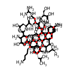 CC(C)C[C@H](NN[C@@H](CCCCN)C(=O)N[C@@H](CCCCN)C(=O)C(=O)[C@H](Cc1ccc(O)cc1)NC(=O)[C@H](CCCNC(N)N)NN[C@@H](CO)C(=O)O)C(=O)N[C@@H](CC(C)C)C(=O)C(=O)[C@H](CCCCN)NC(=O)[C@H](CC(N)=O)NC(=O)[C@H](CO)NC(=O)[C@H](CO)NC(=O)[C@H](CC(=O)O)NC(=O)[C@H](CC(=O)O)NC(=O)[C@H](Cc1ccccc1)NC(=O)[C@H](Cc1ccc(O)cc1)NC(=O)CNN